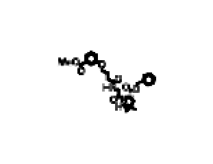 COC(=O)c1cccc(OCCCC(=O)NCC(=O)N2[C@H]3C[C@@]3(C)C[C@H]2C(=O)OCc2ccccc2)c1